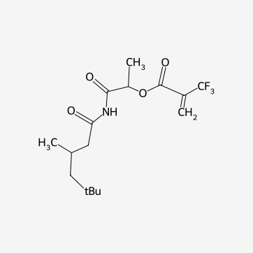 C=C(C(=O)OC(C)C(=O)NC(=O)CC(C)CC(C)(C)C)C(F)(F)F